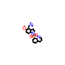 COc1ccc2c(ccn2S(=O)(=O)c2cccc3cccnc23)c1CN(C)C